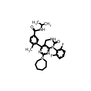 Cc1ccc(C(=O)NC(C)C)cc1-c1nc(N2CCCCCC2)nc2c1CNC(=O)N2c1c(F)cccc1F